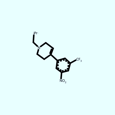 C[C](C)CN1CC=C(c2cc([N+](=O)[O-])cc(C(F)(F)F)c2)CC1